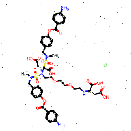 CN(Cc1ccc(OC(=O)c2ccc(N)cc2)cc1)S(=O)(=O)N(CCOCCOCCN[C@@H](CC(=O)O)C(=O)O)[C@](CC(=O)O)(C(=O)O)S(=O)(=O)N(C)Cc1ccc(OC(=O)c2ccc(N)cc2)cc1.Cl